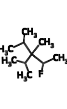 CC(C)C(C)(C(C)C)C(C)F